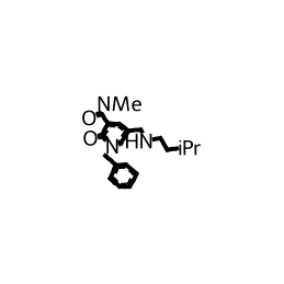 CNC(=O)c1cc(CNCCC(C)C)cn(Cc2ccccc2)c1=O